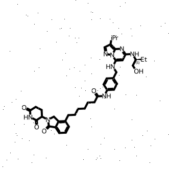 CC[C@@H](CO)Nc1cc(NCc2ccc(NC(=O)CCCCCCc3cccc4c3CN(C3CCC(=O)NC3=O)C4=O)cc2)n2ncc(C(C)C)c2n1